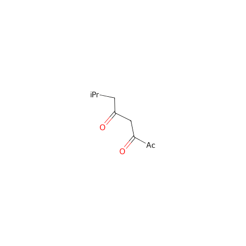 CC(=O)C(=O)CC(=O)CC(C)C